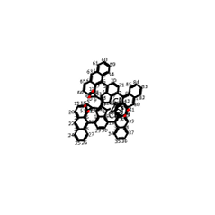 C[SiH](C)[Zr]([Cl])([Cl])([CH]1C(CC2CC2)=Cc2c(-c3c4ccccc4cc4ccccc34)ccc(-c3c4ccccc4cc4ccccc34)c21)[CH]1C(CC2CC2)=Cc2c(-c3c4ccccc4cc4ccccc34)ccc(-c3c4ccccc4cc4ccccc34)c21